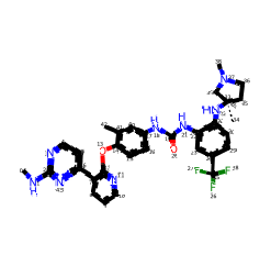 CNc1nccc(-c2cccnc2Oc2ccc(NC(=O)Nc3cc(C(F)(F)F)ccc3N[C@]3(C)CCN(C)C3)cc2C)n1